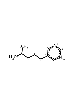 CC(C)CCCc1cncnc1